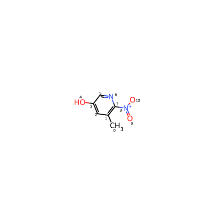 Cc1cc(O)cnc1[N+](=O)[O-]